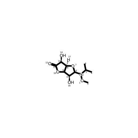 CON(C(C)C)C1O[C@H]2C(OC(=O)[C@H]2O)[C@@H]1O